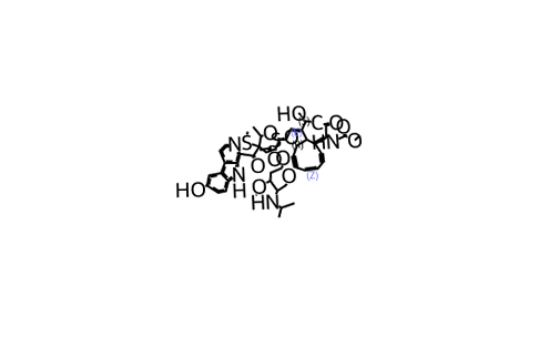 COC(=O)NC1=C2C#C/C=C\C#C[C@H](OC3OC(C)C(SC)(C(=O)c4nccc5c4[nH]c4ccc(O)cc45)CC3OC3CC(OC)C(NC(C)C)CO3)C2/C(=C\CSC(C)=O)[C@@H](O)CC1=O